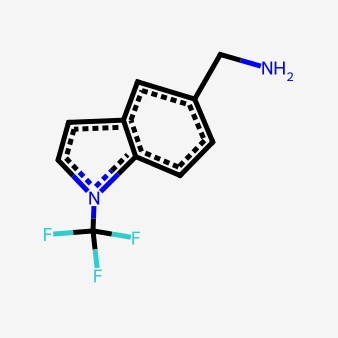 NCc1ccc2c(ccn2C(F)(F)F)c1